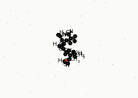 Cc1cc(-c2ccnc3sc4ccccc4c23)c(C)cc1-c1cc(N2c3ccccc3C(C)(C)c3ccccc32)cc(N2c3ccccc3C(C)(Cc3ccc4c(c3)Oc3ccccc3N4c3ccc(-c4cccc(N(c5ccccc5)c5cc(-c6cc(C#N)c(C)c(C#N)c6)cc(N(c6ccccc6)c6ccccc6)c5)c4)c(-c4ccc(-c5cnc6ccccc6c5)cc4)c3C)c3ccccc32)c1